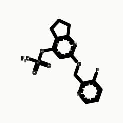 O=S(=O)(Oc1cc(OCc2ncccc2F)nc2c1CCC2)C(F)(F)F